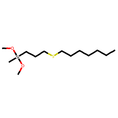 CCCCCCCSCCC[Si](C)(OC)OC